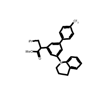 COC(=O)C(CC(C)C)c1cc(-c2ccc(C(F)(F)F)cc2)cc(N2CCCc3ccccc32)c1